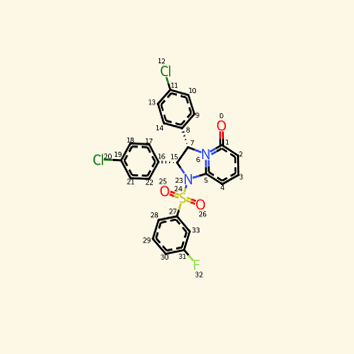 O=c1cccc2n1[C@@H](c1ccc(Cl)cc1)[C@@H](c1ccc(Cl)cc1)N2S(=O)(=O)c1cccc(F)c1